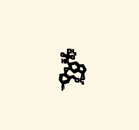 CCc1cc(F)ccc1Oc1cc2c(cc1NS(C)(=O)=O)CCC2=O